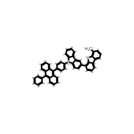 Cc1cccc2c1oc1c(-c3ccc4c(c3)c3ccccc3n4-c3ccc(-c4c5ccccc5c(-c5ccccc5)c5ccccc45)cc3)cccc12